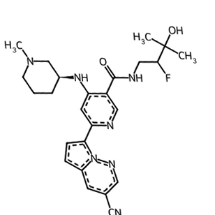 CN1CCC[C@H](Nc2cc(-c3ccc4cc(C#N)cnn34)ncc2C(=O)NCC(F)C(C)(C)O)C1